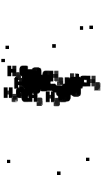 C=C1C[C@H]2C=Nc3cc(OCCCCCOc4cc5c(cc4OC)C(=O)N4CC(=C)C[C@H]4[C@H](O)N5C(=O)OC[C@@H](C)SC)c(OC)cc3C(=O)N2C1